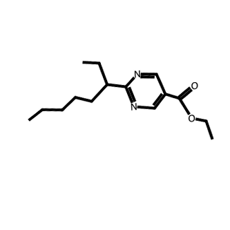 CCCCCC(CC)c1ncc(C(=O)OCC)cn1